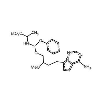 CCOC(=O)C(C)NP(OCC(CCc1ccc2c(N)ncnn12)OC)Oc1ccccc1